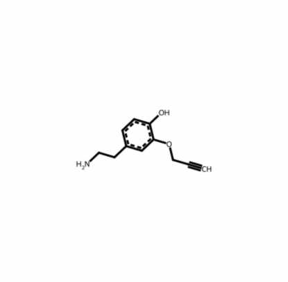 C#CCOc1cc(CCN)ccc1O